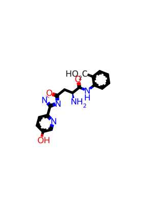 N[C@@H](Cc1nc(-c2ccc(O)cn2)no1)C(=O)Nc1ccccc1C(=O)O